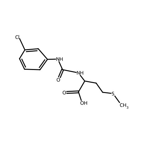 CSCCC(NC(=O)Nc1cccc(Cl)c1)C(=O)O